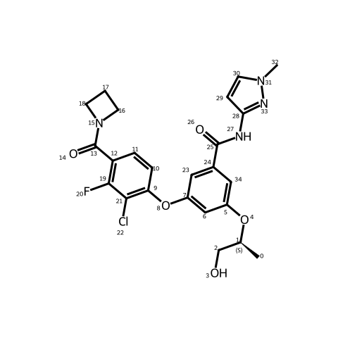 C[C@@H](CO)Oc1cc(Oc2ccc(C(=O)N3CCC3)c(F)c2Cl)cc(C(=O)Nc2ccn(C)n2)c1